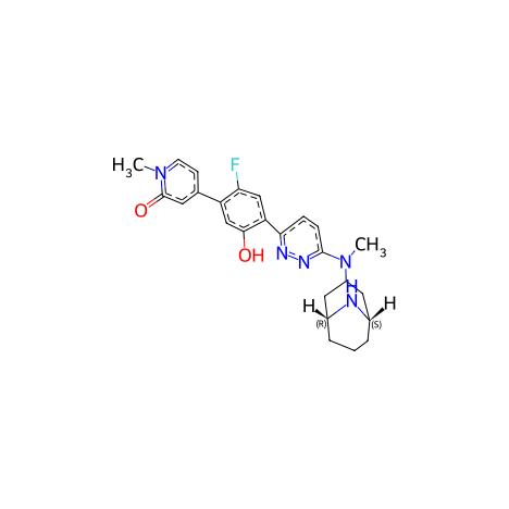 CN(c1ccc(-c2cc(F)c(-c3ccn(C)c(=O)c3)cc2O)nn1)C1C[C@H]2CCC[C@@H](C1)N2